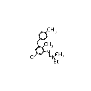 CCN(C)C=Nc1cc(Cl)cc(Cc2ccc(C)cc2)c1C